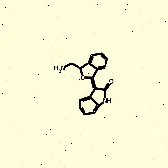 NCC1OC(=C2C(=O)Nc3ccccc32)c2ccccc21